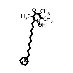 Cc1c(C)n(O)c(CCCCCCCCCCC23CCC(CC2)CC3)c(C)c1=O